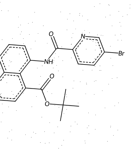 CC(C)(C)OC(=O)c1cccc2cccc(NC(=O)c3ccc(Br)cn3)c12